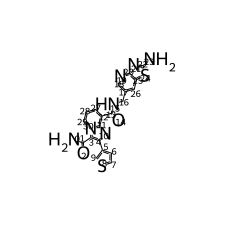 NC(=O)c1c(-c2ccsc2)nc2c(C(=O)NCc3cnc4nc(N)sc4c3)cccn12